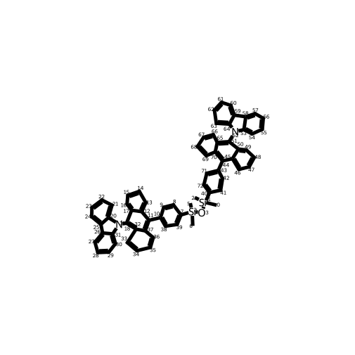 C[Si](C)(O[Si](C)(C)c1ccc(-c2c3ccccc3c(-n3c4ccccc4c4ccccc43)c3ccccc23)cc1)c1ccc(-c2c3ccccc3c(-n3c4ccccc4c4ccccc43)c3ccccc23)cc1